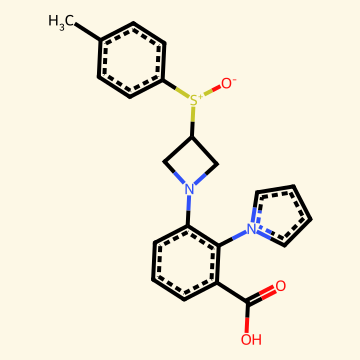 Cc1ccc([S+]([O-])C2CN(c3cccc(C(=O)O)c3-n3cccc3)C2)cc1